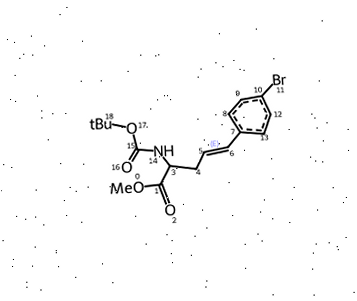 COC(=O)C(C/C=C/c1ccc(Br)cc1)NC(=O)OC(C)(C)C